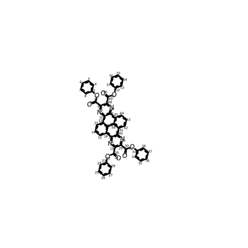 O=C(Oc1ccccc1)c1nc2c3cccc4c5nc(C(=O)Oc6ccccc6)c(C(=O)Oc6ccccc6)nc5c5cccc(c2nc1C(=O)Oc1ccccc1)c5c34